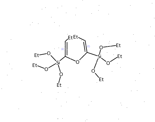 CC/C=C(\O/C(=C\CC)[Si](OCC)(OCC)OCC)[Si](OCC)(OCC)OCC